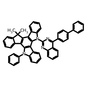 CC1(C)c2ccccc2-c2c1c1c3ccccc3n(-c3nc(-c4ccc(-c5ccccc5)cc4)c4ccccc4n3)c1c1c3ccccc3n(-c3ccccc3)c21